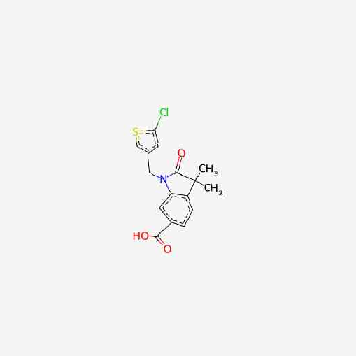 CC1(C)C(=O)N(Cc2csc(Cl)c2)c2cc(C(=O)O)ccc21